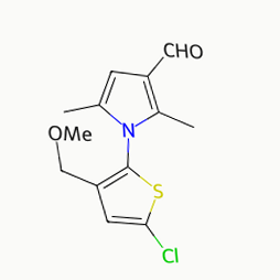 COCc1cc(Cl)sc1-n1c(C)cc(C=O)c1C